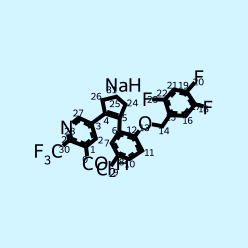 O=C(O)c1cc(C2=C(c3cc(Cl)ccc3OCc3cc(F)c(F)cc3F)CCC2)cnc1C(F)(F)F.[NaH]